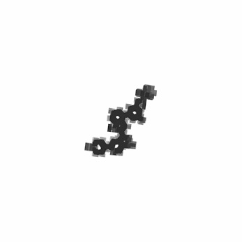 CS(=O)(=O)NCc1cc(F)cc(-c2cccc3[nH]c(-c4n[nH]c5cnc(C6=CCNCC6)cc45)cc23)c1